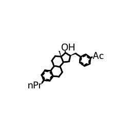 CCCc1ccc2c(c1)CCC1C2CC[C@@]2(C)C1C[C@H](Cc1cccc(C(C)=O)c1)[C@@H]2O